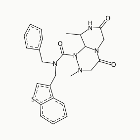 CC1NC(=O)CN2C(=O)CN(C)N(C(=O)N(Cc3ccccc3)Cc3csc4ccccc34)C12